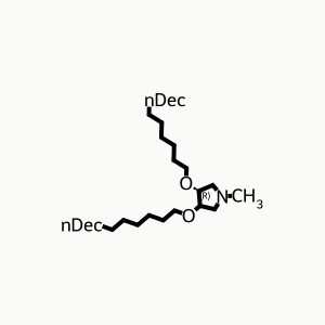 CCCCCCCCCCCCCCCCOC1CN(C)C[C@H]1OCCCCCCCCCCCCCCCC